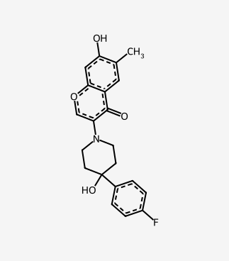 Cc1cc2c(=O)c(N3CCC(O)(c4ccc(F)cc4)CC3)coc2cc1O